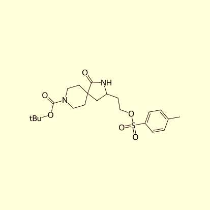 Cc1ccc(S(=O)(=O)OCCC2CC3(CCN(C(=O)OC(C)(C)C)CC3)C(=O)N2)cc1